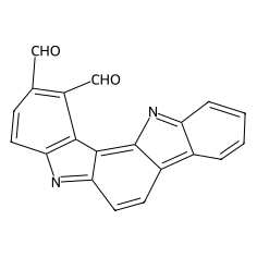 O=Cc1ccc2c(c1C=O)-c1c3c(ccc1=N2)=c1ccccc1=N3